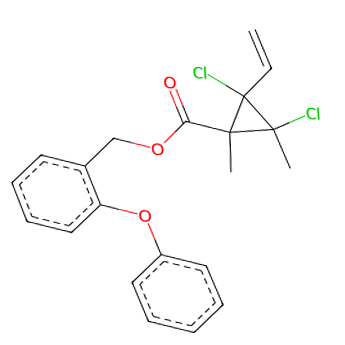 C=CC1(Cl)C(C)(Cl)C1(C)C(=O)OCc1ccccc1Oc1ccccc1